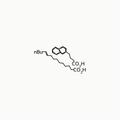 CCCCC=CCCCCCCCCC(=O)O.O=C(O)CCCc1ccc2ccccc2c1